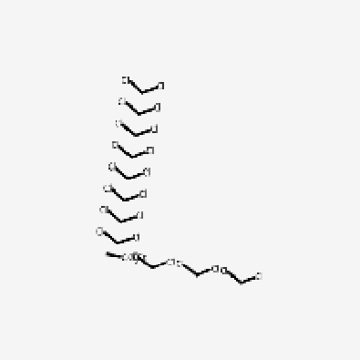 CCOC(C)=O.ClCCl.ClCCl.ClCCl.ClCCl.ClCCl.ClCCl.ClCCl.ClCCl.ClCCl.ClCCl.ClCCl